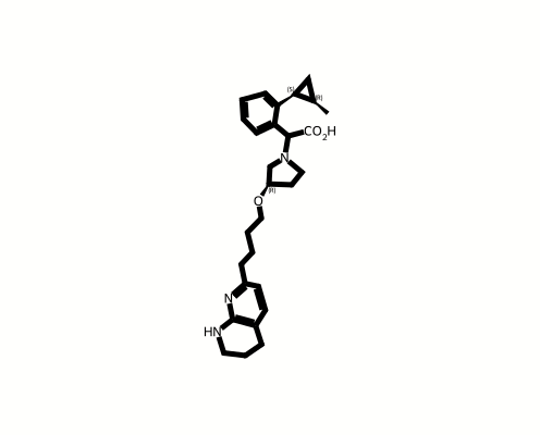 C[C@@H]1C[C@@H]1c1ccccc1C(C(=O)O)N1CC[C@@H](OCCCCc2ccc3c(n2)NCCC3)C1